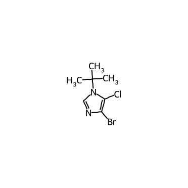 CC(C)(C)n1cnc(Br)c1Cl